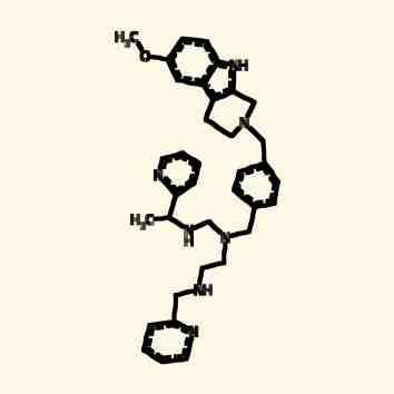 COc1ccc2[nH]c3c(c2c1)CCN(Cc1ccc(CN(CCNCc2ccccn2)CNC(C)c2ccccn2)cc1)C3